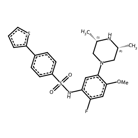 COc1cc(F)c(NS(=O)(=O)c2ccc(-c3cccs3)cc2)cc1N1C[C@@H](C)N[C@@H](C)C1